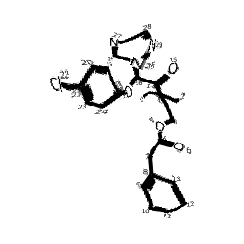 CC(C)(COC(=O)Cc1ccccc1)C(=O)C(Oc1ccc(Cl)cc1)n1cncn1